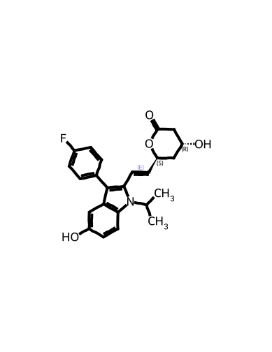 CC(C)n1c(/C=C/[C@@H]2C[C@@H](O)CC(=O)O2)c(-c2ccc(F)cc2)c2cc(O)ccc21